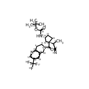 CC(C#N)[C@]1(C(=O)N2CCc3ncc(C(F)(F)F)cc3C2)CC[C@@H](NC(=O)OC(C)(C)C)C1